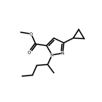 CCCC(C)n1nc(C2CC2)cc1C(=O)OC